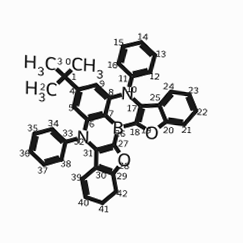 CC(C)(C)c1cc2c3c(c1)N(c1ccccc1)c1c(oc4ccccc14)B3c1oc3c(c1N2c1ccccc1)C=CCC3